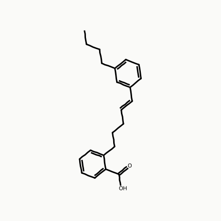 CCCCc1cccc(C=CCCCc2ccccc2C(=O)O)c1